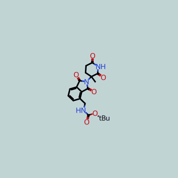 CC(C)(C)OC(=O)NCc1cccc2c1C(=O)N(C1(C)CCC(=O)NC1=O)C2=O